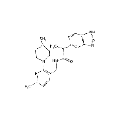 CC1CCN(c2nc(C(F)(F)F)ccc2CNC(=O)C(C)c2ccc3[nH]nnc3c2)CC1